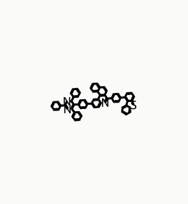 c1ccc(-c2nc(-c3ccccc3)c(-c3ccc(-c4ccc5nc(-c6ccc(-c7cccc8sc9ccccc9c78)cc6)c6ccc7ccccc7c6c5c4)cc3)c(-c3ccccc3)n2)cc1